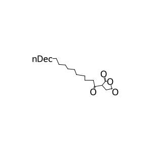 CCCCCCCCCCCCCCCCCCCC(=O)C1CC(=O)OC1=O